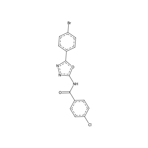 O=C(Nc1nnc(-c2ccc(Br)cc2)o1)c1ccc(Cl)cc1